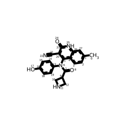 Cc1ccc2c(N(C(=O)C3CNC3)c3ccc(O)cc3)c(C#N)c(=O)[nH]c2c1